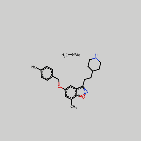 CNC.Cc1cc(OCc2ccc(C#N)cc2)cc2c(CCC3CCNCC3)noc12